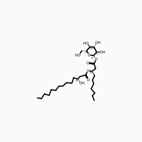 CCCCCCCCCCC[C@@H](O)CC(=O)O[C@H](CCCCCCC)CC(=O)O[C@@H]1O[C@H](CO)[C@@H](O)[C@H](O)[C@H]1O